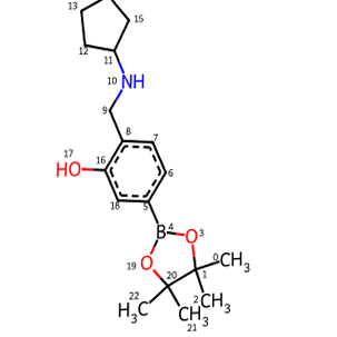 CC1(C)OB(c2ccc(CNC3CCCC3)c(O)c2)OC1(C)C